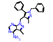 Cc1nn(Cc2ccccc2)c(-c2ccccc2)c1Cn1nc(C)c2c(N)ncnc21